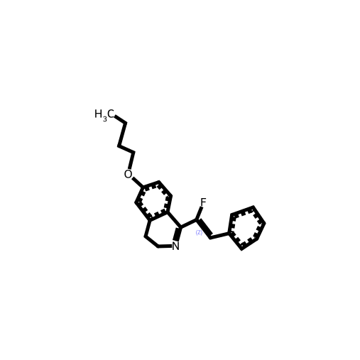 CCCCOc1ccc2c(c1)CCN=C2/C(F)=C/c1ccccc1